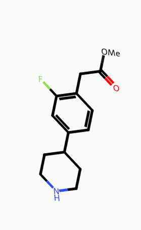 COC(=O)Cc1ccc(C2CCNCC2)cc1F